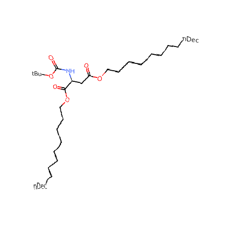 CCCCCCCCCCCCCCCCCCOC(=O)CC(NC(=O)OC(C)(C)C)C(=O)OCCCCCCCCCCCCCCCCCC